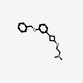 CN(C)CCO[C]1CC(c2cccc(OCc3ccccc3)c2)C1